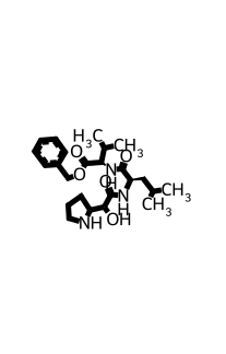 CC(C)C[C@@H](NC(=O)C(O)C1CCCN1)C(=O)N[C@H](C(=O)OCc1ccccc1)C(C)C